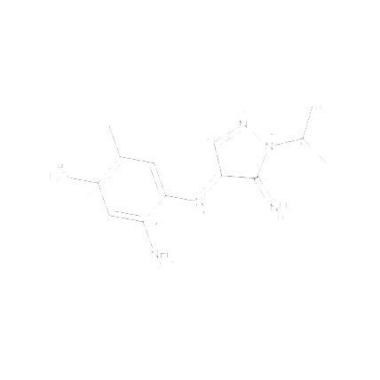 Cc1cc(N=C2C=NN(C(C)C)C2=N)c(N)cc1O